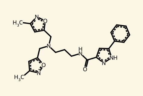 Cc1cc(CN(CCCNC(=O)c2cc(-c3ccccc3)[nH]n2)Cc2cc(C)no2)on1